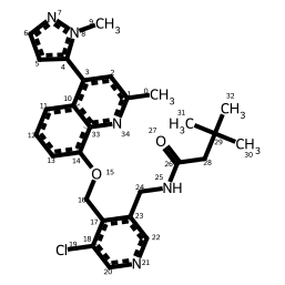 Cc1cc(-c2ccnn2C)c2cccc(OCc3c(Cl)cncc3CNC(=O)CC(C)(C)C)c2n1